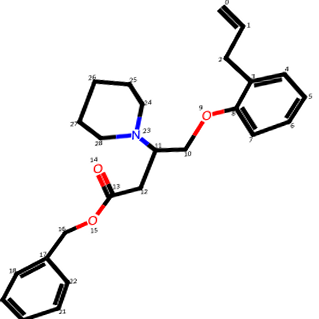 C=CCc1ccccc1OCC(CC(=O)OCc1ccccc1)N1CCCCC1